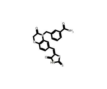 NC(=O)c1cccc(CN2C(=O)COc3ccc(/C=C4/SC(=S)NC4=O)cc32)c1